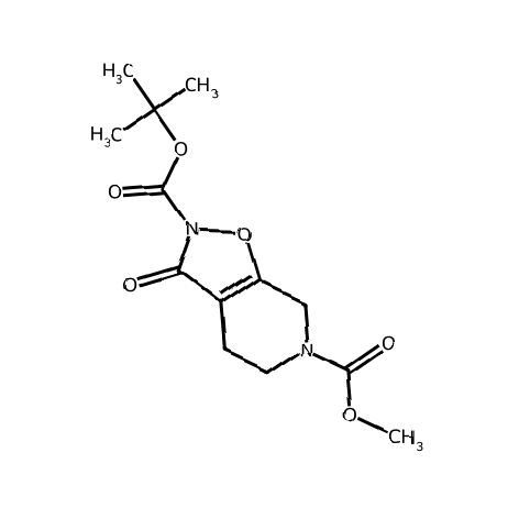 COC(=O)N1CCc2c(on(C(=O)OC(C)(C)C)c2=O)C1